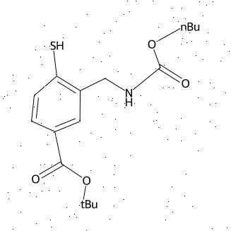 CCCCOC(=O)NCc1cc(C(=O)OC(C)(C)C)ccc1S